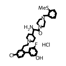 CSc1ccccc1CN1CCN(C(=O)C(N)C2CCN(CCc3cc(Cl)ccc3-c3cc(O)cc(F)c3)CC2)CC1.Cl